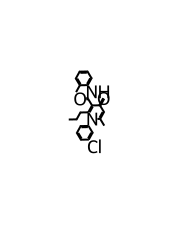 CCCc1c(C(=O)Nc2ccccc2C)c(=O)cc(C)n1-c1cccc(Cl)c1